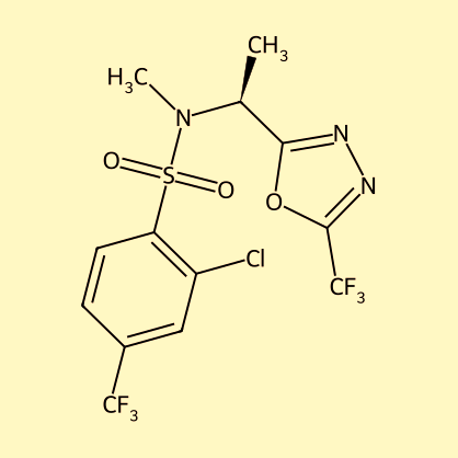 C[C@@H](c1nnc(C(F)(F)F)o1)N(C)S(=O)(=O)c1ccc(C(F)(F)F)cc1Cl